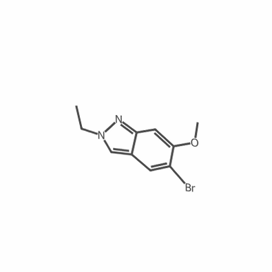 CCn1cc2cc(Br)c(OC)cc2n1